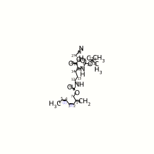 C=C(/C=C\C=C/C)COC(=O)NCCC[C@H](NC(=O)OC(C)(C)C)C(=O)OCC#N